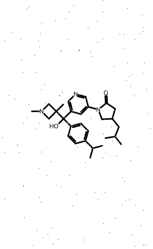 CC(C)CC1CC(=O)N(c2cncc(C(O)(c3ccc(C(C)C)cc3)C3(C)CN(C)C3)c2)C1